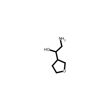 NCC(O)C1CCOC1